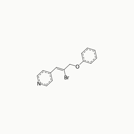 BrC(=Cc1ccncc1)COc1ccccc1